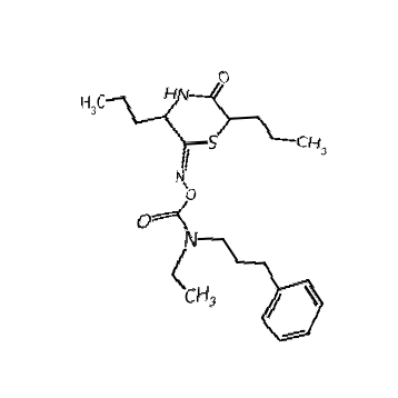 CCCC1NC(=O)C(CCC)SC1=NOC(=O)N(CC)CCCc1ccccc1